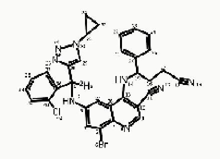 [2H]C(Nc1cc(Br)c2ncc(C#N)c(NC(CCC#N)c3ccccc3)c2c1)(c1cn(C2CC2)nn1)c1ccccc1Cl